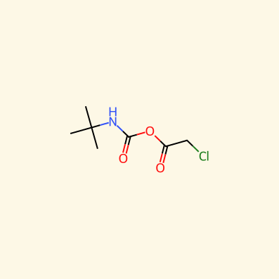 CC(C)(C)NC(=O)OC(=O)CCl